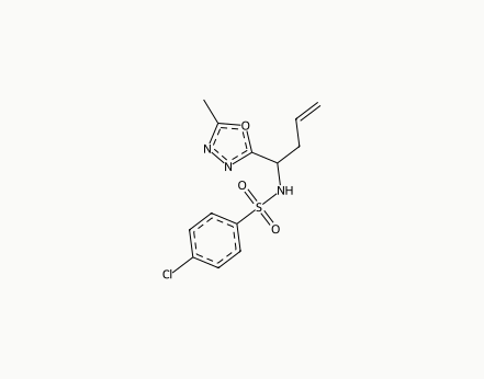 C=CCC(NS(=O)(=O)c1ccc(Cl)cc1)c1nnc(C)o1